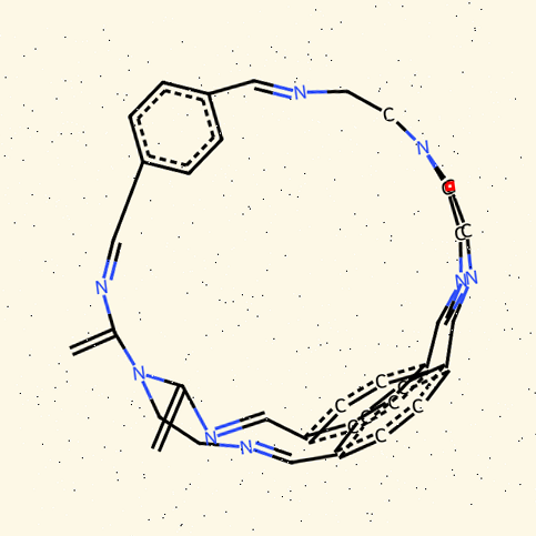 C=C1/N=C/c2ccc(cc2)/C=N/CCN2CC/N=C/c3ccc(cc3)/C=N/CCN1C(=C)/N=C/c1ccc(cc1)/C=N/CC2